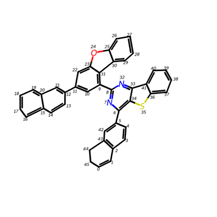 C1=Cc2ccc(-c3nc(-c4cc(-c5ccc6ccccc6c5)cc5oc6ccccc6c45)nc4c3sc3ccccc34)cc2CC1